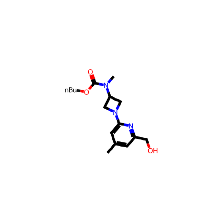 CCCCOC(=O)N(C)C1CN(c2cc(C)cc(CO)n2)C1